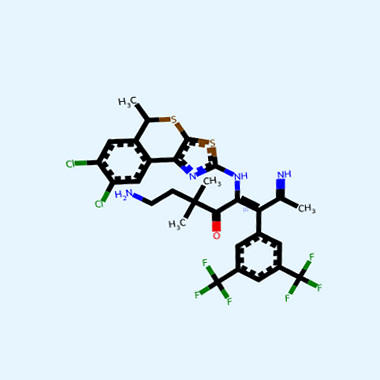 CC(=N)/C(=C(\Nc1nc2c(s1)SC(C)c1cc(Cl)c(Cl)cc1-2)C(=O)C(C)(C)CCN)c1cc(C(F)(F)F)cc(C(F)(F)F)c1